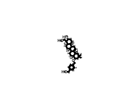 CC1(C)C[C@@H](OCc2ccc(CO)cc2)[C@]2(C)CCC3C(=CCC4[C@@]3(C)CCC3[C@]4(C)CC[C@H](O)[C@]3(C)CO)[C@@H]2C1